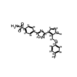 Cn1ncc(-c2noc(-c3ccc(S(N)(=O)=O)cc3)n2)c1COc1ccc(F)cc1